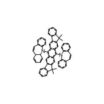 CC1(C)c2ccccc2-c2cc3c(N4c5ccccc5C=CC5C=CC=CC54)c4cc5c(cc4c(N4c6ccccc6C=Cc6ccccc64)c3cc21)C(C)(C)c1ccccc1-5